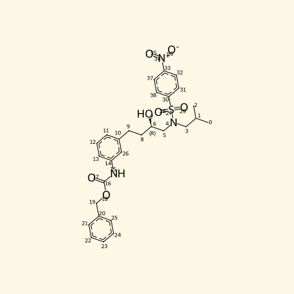 CC(C)CN(C[C@H](O)CCc1cccc(NC(=O)OCc2ccccc2)c1)S(=O)(=O)c1ccc([N+](=O)[O-])cc1